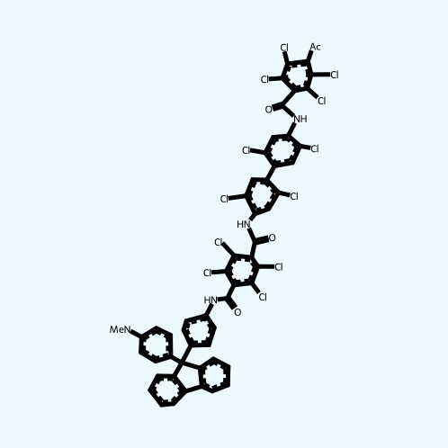 CNc1ccc(C2(c3ccc(NC(=O)c4c(Cl)c(Cl)c(C(=O)Nc5cc(Cl)c(-c6cc(Cl)c(NC(=O)c7c(Cl)c(Cl)c(C(C)=O)c(Cl)c7Cl)cc6Cl)cc5Cl)c(Cl)c4Cl)cc3)c3ccccc3-c3ccccc32)cc1